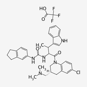 CC(c1c[nH]c2ccccc12)C(NC(=O)Nc1ccc2c(c1)CCC2)C(=O)N1C[C@@H](CN(C)C)Cc2cc(Cl)ccc21.O=C(O)C(F)(F)F